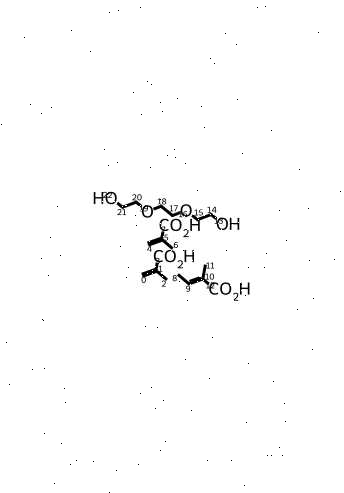 C=C(C)C(=O)O.C=C(C)C(=O)O.CC=C(C)C(=O)O.OCCOCCOCCO